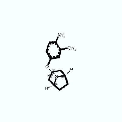 Cc1cc(O[C@@H]2C[C@H]3CC[C@@H](C2)N3C)ccc1N